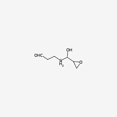 O=CCC[SiH2]C(O)C1CO1